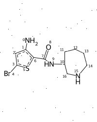 Nc1cc(Br)sc1C(=O)NC1CCCCNC1